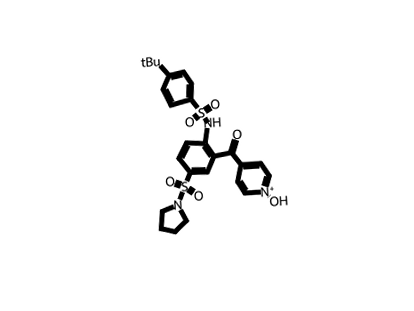 CC(C)(C)c1ccc(S(=O)(=O)Nc2ccc(S(=O)(=O)N3CCCC3)cc2C(=O)c2cc[n+](O)cc2)cc1